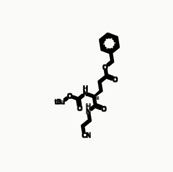 CC(C)(C)OC(=O)N[C@@H](CCC(=O)OCc1ccccc1)C(=O)NCCC#N